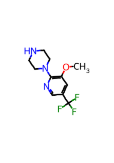 COc1cc(C(F)(F)F)cnc1N1CCNCC1